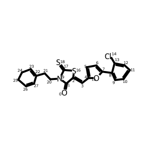 O=C1/C(=C/c2ccc(-c3ccccc3Cl)o2)SC(=S)N1CCC1=CCCC=C1